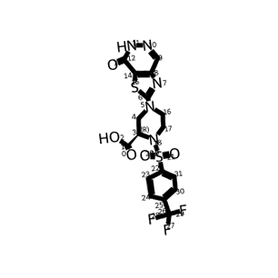 O=C(O)[C@H]1CN(c2nc3cn[nH]c(=O)c3s2)CCN1S(=O)(=O)c1ccc(C(F)(F)F)cc1